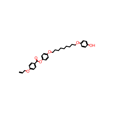 C=CCOc1ccc(C(=O)Oc2ccc(OCCCCCCCCCOc3ccc(O)cc3)cc2)cc1